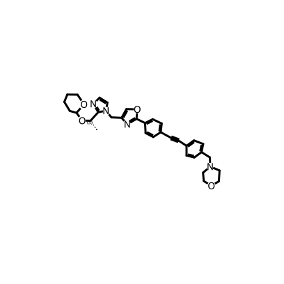 C[C@H](OC1CCCCO1)c1nccn1Cc1coc(-c2ccc(C#Cc3ccc(CN4CCOCC4)cc3)cc2)n1